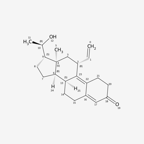 C=C[C@H]1C[C@@]2(C)[C@H](CC[C@@H]2[C@@H](C)O)[C@@H]2CCC3=CC(=O)CCC3=C21